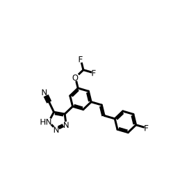 N#Cc1[nH]nnc1-c1cc(/C=C/c2ccc(F)cc2)cc(OC(F)F)c1